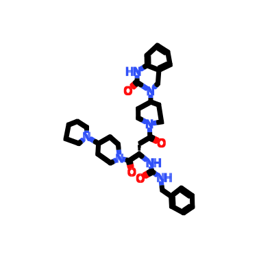 O=C(NCc1ccccc1)N[C@@H](CC(=O)N1CCC(N2Cc3ccccc3NC2=O)CC1)C(=O)N1CCC(N2CCCCC2)CC1